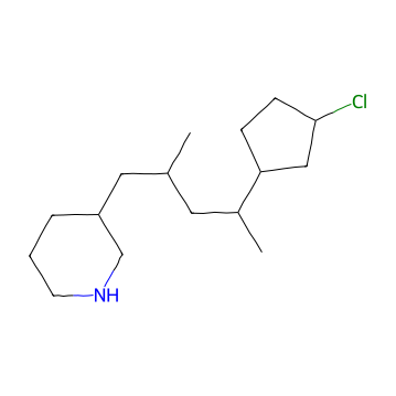 CC(CC1CCCNC1)CC(C)C1CCC(Cl)C1